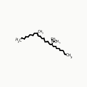 CCCCCCCCC(C)CCCCCCCC(CCCCCCCC)N(C)C